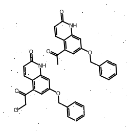 CC(=O)c1cc(OCc2ccccc2)cc2[nH]c(=O)ccc12.O=C(CCl)c1cc(OCc2ccccc2)cc2[nH]c(=O)ccc12